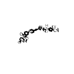 CC(C)(C(=O)Nc1ccc(C#N)c(C(F)(F)F)c1)n1cc(C#CC2CCN(c3ccc4c(c3)C(=O)N(C3CCC(=O)NC3=O)C4=O)CC2)cn1